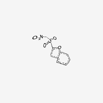 O=[N+]([O-])CS(=O)(=O)c1cc2ccccc2o1